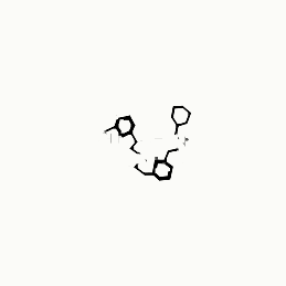 C[C@H](Cc1cccc(CC(=O)N(C)CC2CCCCC2)c1)NC[C@@H](O)c1ccc(O)c(CO)c1